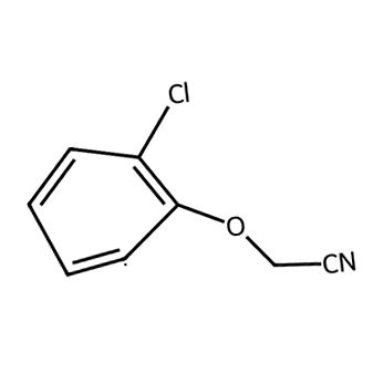 N#CCOc1[c]cccc1Cl